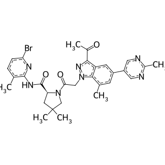 CC(=O)c1nn(CC(=O)N2CC(C)(C)C[C@H]2C(=O)Nc2nc(Br)ccc2C)c2c(C)cc(-c3cnc(C)nc3)cc12